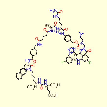 CC(C)[C@H](NC(=O)CCCC(=O)NCC1CCC(C(=O)N[C@@H](Cc2ccc3ccccc3c2)C(=O)NCCCC[C@H](NC(=O)N[C@@H](CCC(=O)O)C(=O)O)C(=O)O)CC1)C(=O)N[C@@H](CCCNC(N)=O)C(=O)Nc1ccc(COC(=O)N(CCN(C)C)Cn2nc3c4c(cc(F)cc4c2=O)N[C@H](c2ccc(F)cc2)[C@H]3c2ncnn2C)cc1